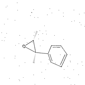 C[C@H]1O[C@]1(C)c1ccccc1